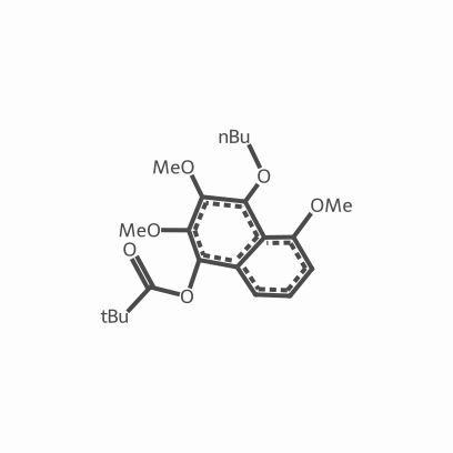 CCCCOc1c(OC)c(OC)c(OC(=O)C(C)(C)C)c2cccc(OC)c12